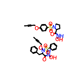 CC#CCON(C(Cc1ccccc1)C(=O)NO)S(=O)(=O)c1ccccc1.CC#CCOc1ccc(S(=O)(=O)N2CCCC2C(=O)NO)cc1